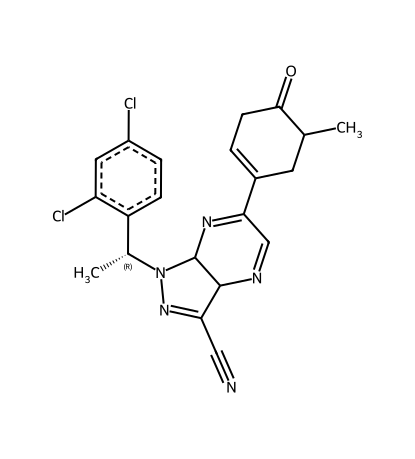 CC1CC(C2=NC3C(N=C2)C(C#N)=NN3[C@H](C)c2ccc(Cl)cc2Cl)=CCC1=O